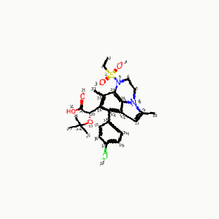 CCS(=O)(=O)N1CCn2c(C)cc3c(-c4ccc(Cl)cc4)c([C@H](OC(C)(C)C)C(=O)O)c(C)c1c32